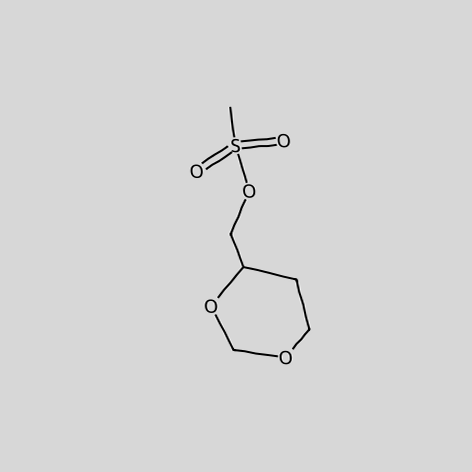 CS(=O)(=O)OCC1CCOCO1